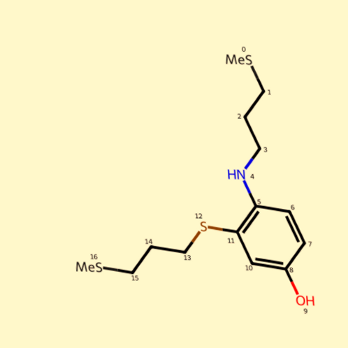 CSCCCNc1ccc(O)cc1SCCCSC